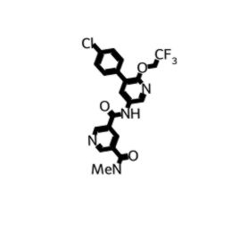 CNC(=O)c1cncc(C(=O)Nc2cnc(OCC(F)(F)F)c(-c3ccc(Cl)cc3)c2)c1